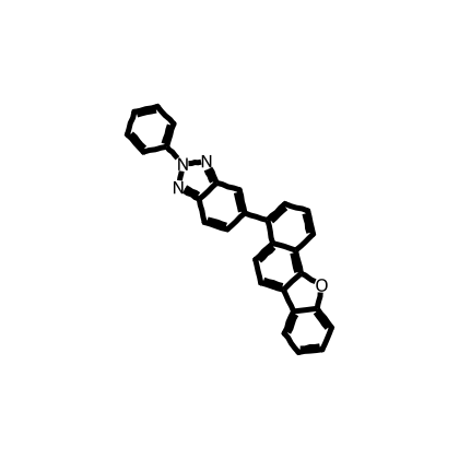 c1ccc(-n2nc3ccc(-c4cccc5c4ccc4c6ccccc6oc54)cc3n2)cc1